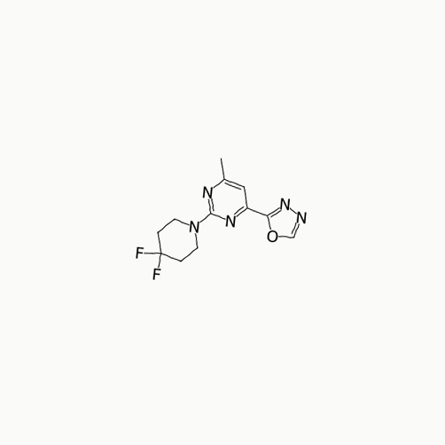 Cc1cc(-c2nnco2)nc(N2CCC(F)(F)CC2)n1